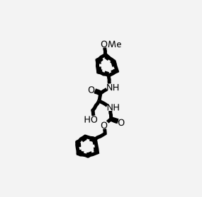 COc1ccc(NC(=O)C(CO)NC(=O)OCc2ccccc2)cc1